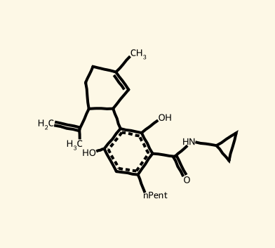 C=C(C)C1CCC(C)=CC1c1c(O)cc(CCCCC)c(C(=O)NC2CC2)c1O